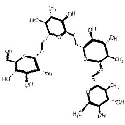 C[C@@H]1[C@@H](O)[C@@H](OC[C@H]2O[C@H](OC[C@H]3O[C@H](C)[C@H](O)[C@@H](O)[C@@H]3C)[C@H](C)[C@@H](O)[C@@H]2O)O[C@H](CO[C@H]2O[C@H](CO)[C@@H](O)[C@H](O)[C@H]2O)[C@H]1O